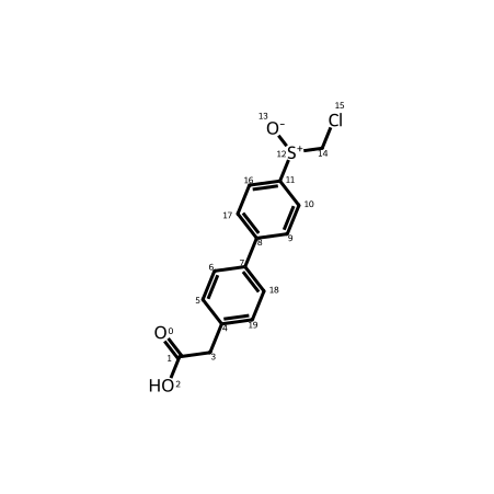 O=C(O)Cc1ccc(-c2ccc([S+]([O-])CCl)cc2)cc1